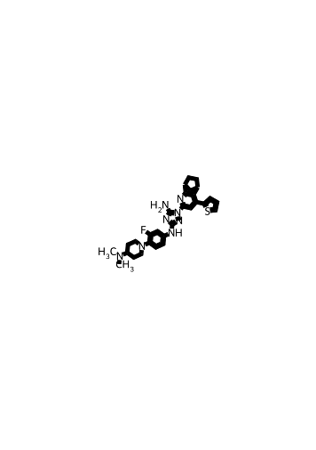 CN(C)C1CCN(c2ccc(Nc3nc(N)n(-c4cc(-c5cccs5)c5c(n4)C4CCC5C4)n3)cc2F)CC1